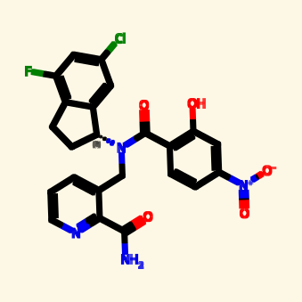 NC(=O)c1ncccc1CN(C(=O)c1ccc([N+](=O)[O-])cc1O)[C@@H]1CCc2c(F)cc(Cl)cc21